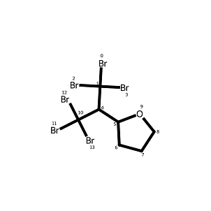 BrC(Br)(Br)C(C1CCCO1)C(Br)(Br)Br